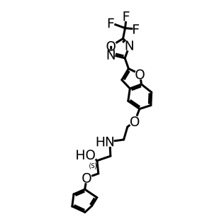 O[C@@H](CNCCOc1ccc2oc(-c3noc(C(F)(F)F)n3)cc2c1)COc1ccccc1